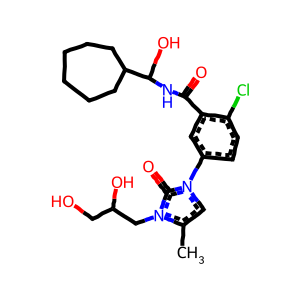 Cc1cn(-c2ccc(Cl)c(C(=O)NC(O)C3CCCCCC3)c2)c(=O)n1CC(O)CO